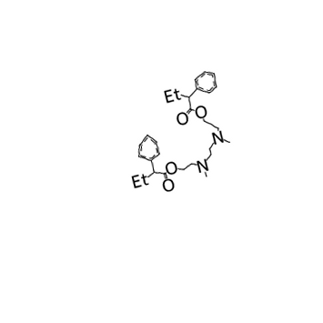 CCC(C(=O)OCCN(C)CCN(C)CCOC(=O)C(CC)c1ccccc1)c1ccccc1